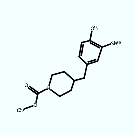 CSc1cc(CC2CCN(C(=O)OC(C)(C)C)CC2)ccc1O